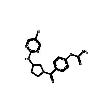 NC(=O)Oc1ccc(C(=O)N2CC[C@@H](Nc3ncc(Cl)cn3)C2)cc1